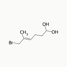 C/C(=C\CCC(O)O)CBr